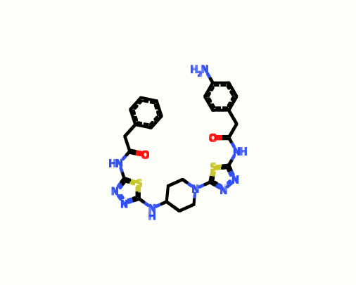 Nc1ccc(CC(=O)Nc2nnc(N3CCC(Nc4nnc(NC(=O)Cc5ccccc5)s4)CC3)s2)cc1